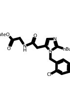 CCCCc1ncc(CC(=O)NCC(=O)OC)n1Cc1ccccc1Cl